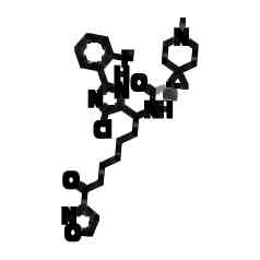 CN1CCC2(CC1)C[C@@H]2C(=O)NC(CCCCCC(=O)c1ccon1)c1[nH]c(-c2ccccc2F)nc1Cl